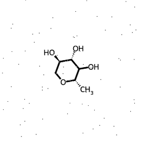 C[C@@H]1OC[C@@H](O)[C@H](O)C1O